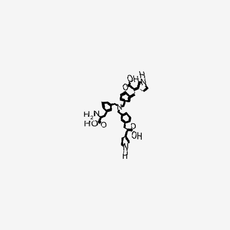 N[C@@H](Cc1cccc(CN(Cc2cccc(C[C@H](C(=O)O)[C@H]3CCNC3)c2)Cc2cccc(C[C@@H](C(=O)O)[C@@H]3CCNC3)c2)c1)C(=O)O